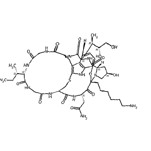 CC[C@H](C)[C@@H]1NC(=O)CNC(=O)C2Cc3c4[nH]c5cc(ccc35)OC(CCCCCCN)(C(=O)[C@H](CC(N)=O)NC(=O)C(CS4)NC(=O)CNC1=O)N1C[C@H](O)C[C@H]1C(=O)N[C@@H]([C@@H](C)[C@@H](O)CO)C(=O)N2